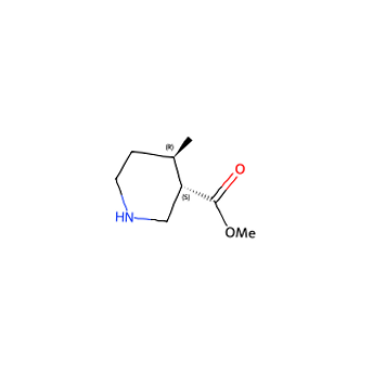 COC(=O)[C@@H]1CNCC[C@H]1C